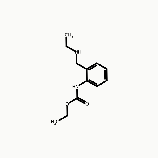 CCNCc1ccccc1NC(=O)OCC